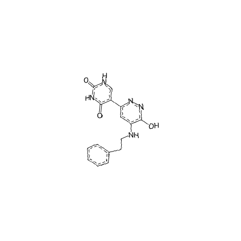 O=c1[nH]cc(-c2cc(NCCc3ccccc3)c(O)nn2)c(=O)[nH]1